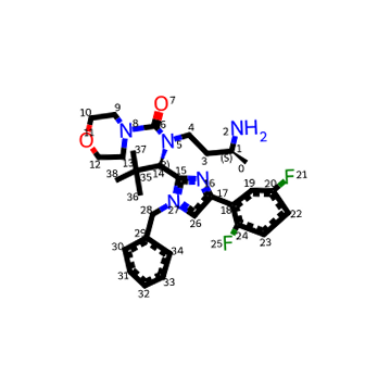 C[C@H](N)CCN(C(=O)N1CCOCC1)[C@@H](c1nc(-c2cc(F)ccc2F)cn1Cc1ccccc1)C(C)(C)C